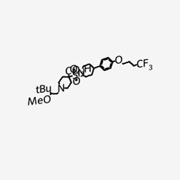 COC(CN1CCC(C(=O)O)(S(=O)(=O)N2CCC(c3ccc(OCCCC(F)(F)F)cc3)CC2)CC1)C(C)(C)C